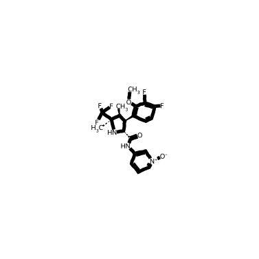 COc1c([C@H]2[C@H](C(=O)Nc3ccc[n+]([O-])c3)N[C@@](C)(C(F)(F)F)[C@H]2C)ccc(F)c1F